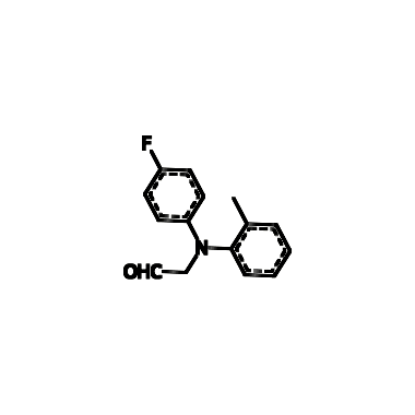 Cc1ccccc1N(CC=O)c1ccc(F)cc1